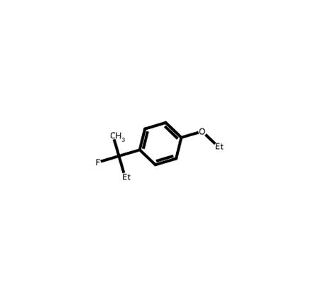 CCOc1ccc(C(C)(F)CC)cc1